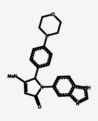 CNC1=CC(=O)N(c2ccc3[nH]cnc3c2)C1c1ccc(N2CCOCC2)cc1